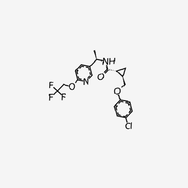 C[C@@H](NC(=O)[C@@H]1C[C@H]1COc1ccc(Cl)cc1)c1ccc(OCC(F)(F)F)nc1